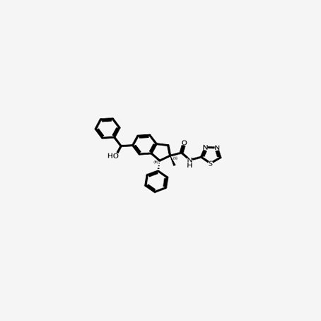 C[C@]1(C(=O)Nc2nncs2)Cc2ccc(C(O)c3ccccc3)cc2[C@H]1c1ccccc1